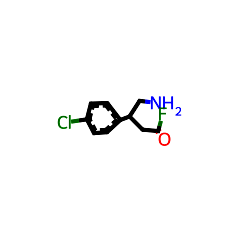 NCC(CC(=O)F)c1ccc(Cl)cc1